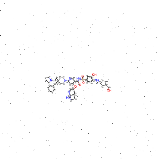 CC(C)c1ccccc1[C@@H]1CCCN1C1CC2(CCN(c3cc(Oc4cnc5[nH]ccc5c4)c(C(=O)NS(=O)(=O)c4ccc(NC[C@@H]5CCC(CO)C5)c(O)c4)cn3)CC2)C1